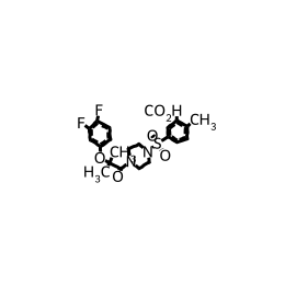 Cc1ccc(S(=O)(=O)N2CCN(C(=O)C(C)(C)Oc3ccc(F)c(F)c3)CC2)cc1C(=O)O